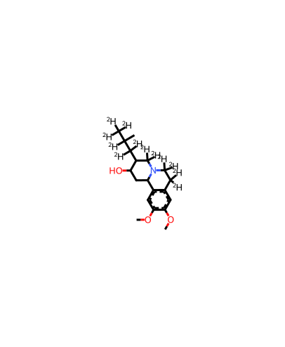 [2H]C1([2H])C(C([2H])([2H])C([2H])(C)C([2H])([2H])[2H])C(O)CC2c3cc(OC)c(OC)cc3C([2H])([2H])C([2H])([2H])N21